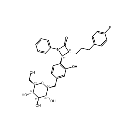 O=C1[C@H](CCCc2ccc(F)cc2)[C@@H](c2ccc(C[C@@H]3O[C@H](CO)[C@@H](O)[C@H](O)[C@H]3O)cc2O)N1c1ccccc1